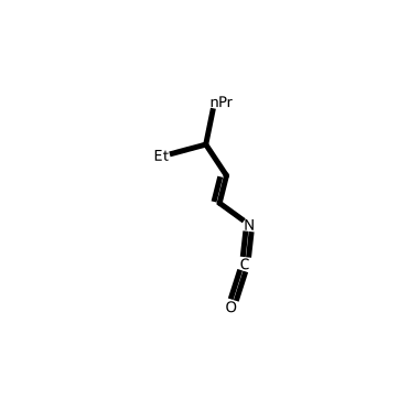 CCCC(/C=C/N=C=O)CC